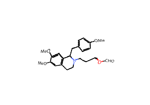 COc1ccc(CC2c3cc(OC)c(OC)cc3CCN2CCCOC=O)cc1